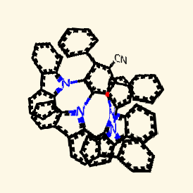 N#Cc1c(-c2ccccc2)c(-n2c3ccccc3c3ccccc32)c(-n2c3ccccc3c3ccc4c5ccccc5n(-c5ccccc5)c4c32)c(-n2c3ccccc3c3ccccc32)c1-c1ccccc1